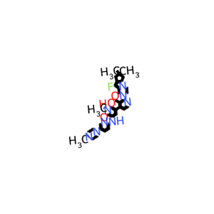 CN1CCN(c2ccc(Nc3cc(-c4ccnc(N5CCn6c7c(c(F)c6C5=O)CC(C)(C)C7)c4CO)cn(C)c3=O)nc2)CC1